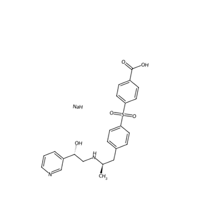 C[C@H](Cc1ccc(S(=O)(=O)c2ccc(C(=O)O)cc2)cc1)NC[C@@H](O)c1cccnc1.[NaH]